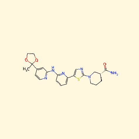 CC1(c2ccnc(Nc3cccc(-c4cnc(N5CCC[C@@H](C(N)=O)C5)s4)n3)c2)OCCO1